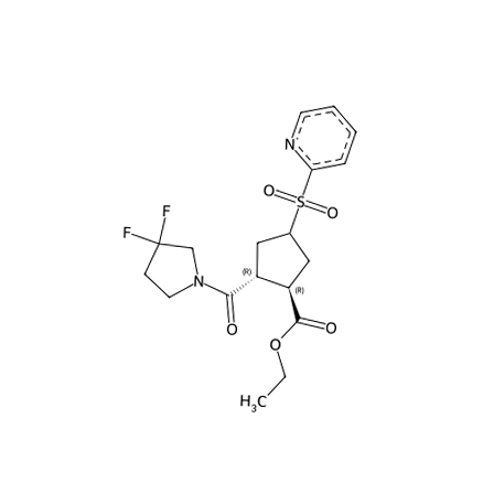 CCOC(=O)[C@@H]1CC(S(=O)(=O)c2ccccn2)C[C@H]1C(=O)N1CCC(F)(F)C1